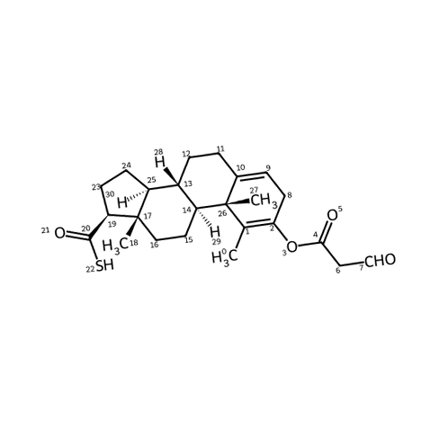 CC1=C(OC(=O)CC=O)CC=C2CC[C@@H]3[C@H](CC[C@]4(C)[C@@H](C(=O)S)CC[C@@H]34)[C@]21C